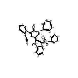 N#Cc1ccccc1-c1cc(-c2[nH]c3ccccc3c2S(=O)(=O)c2ccccc2)cn(-c2cccnc2)c1=O